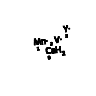 [CaH2].[Mn].[V].[Y]